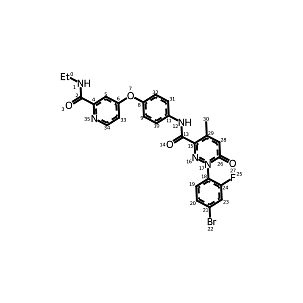 CCNC(=O)c1cc(Oc2ccc(NC(=O)c3nn(-c4ccc(Br)cc4F)c(=O)cc3C)cc2)ccn1